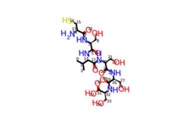 CC(C)[C@H](NC(=O)[C@H](CO)NC(=O)[C@@H](N)CS)C(=O)N[C@@H](CO)C(=O)N[C@@H](CO)C(=O)N[C@@H](CO)C(=O)O